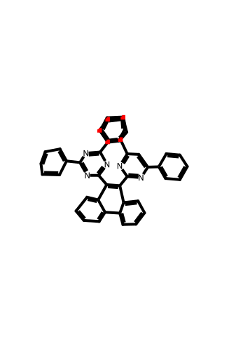 c1ccc(-c2cc(-c3ccccc3)nc(-c3c(-c4nc(-c5ccccc5)nc(-c5ccccc5)n4)c4ccccc4c4ccccc34)n2)cc1